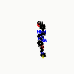 COc1cccc(-c2ncc(-c3ccnc(Nc4cccc(OCCCN5CCSC5)c4)n3)[nH]2)c1